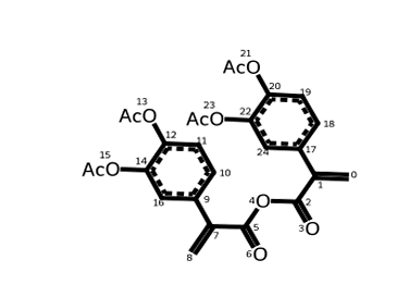 C=C(C(=O)OC(=O)C(=C)c1ccc(OC(C)=O)c(OC(C)=O)c1)c1ccc(OC(C)=O)c(OC(C)=O)c1